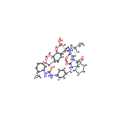 Cc1ccccc1NC(=O)Nc1ccc(CN2C(=O)N([C@@H](CC(C)C)C(=O)N[C@@H](CC(=O)O)c3ccc4c(c3)OOCC4)C(=O)C23CCCCC3)cc1